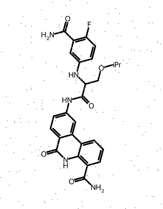 CC(C)OCC(Nc1ccc(F)c(C(N)=O)c1)C(=O)Nc1ccc2c(=O)[nH]c3c(C(N)=O)cccc3c2c1